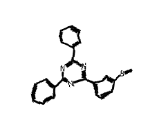 C=Bc1cccc(-c2nc(-c3ccccc3)nc(-c3ccccc3)n2)c1